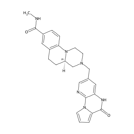 CNC(=O)c1ccc2c(c1)CC[C@@H]1CN(Cc3cnc4c(c3)[nH]c(=O)c3cccn34)CCN21